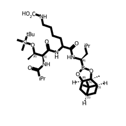 CC(C)C[C@H](NC(=O)C(CCCCNC(=O)O)NC(=O)[C@@H](NC(=O)C(C)C)[C@@H](C)O[Si](C)(C)C(C)(C)C)B1O[C@@H]2C[C@@H]3C[C@@H](C3(C)C)[C@]2(C)O1